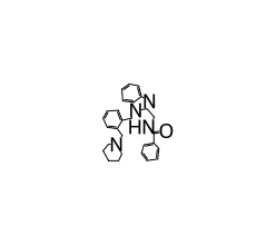 O=C(NCc1nc2ccccc2n1Cc1ccccc1CN1CCCCC1)c1ccccc1